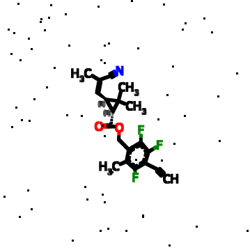 C#Cc1c(F)c(C)c(COC(=O)[C@@H]2[C@@H](C=C(C)C#N)C2(C)C)c(F)c1F